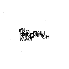 COC1=CC2NC(NCCO)=CC=C2C=C1NC(=O)c1cnn2cccnc12